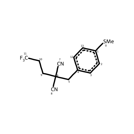 CSc1ccc(CC(C#N)(C#N)CCC(F)(F)F)cc1